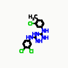 Cc1ccc(NC(=N)NC(=N)Nc2ccc(Cl)c(Cl)c2)cc1Cl